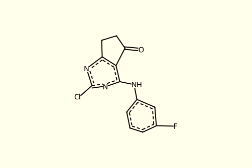 O=C1CCc2nc(Cl)nc(Nc3cccc(F)c3)c21